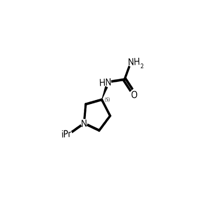 CC(C)N1CC[C@H](NC(N)=O)C1